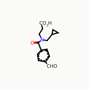 O=Cc1ccc(C(=O)N(CCC(=O)O)CC2CC2)cc1